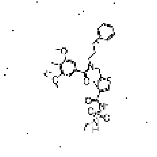 CCNS(=O)(=O)[N-]C(=O)c1csc(CN(CCCc2ccccc2)C(=O)c2cc(OC)c(C)c(OC)c2)n1.[K+]